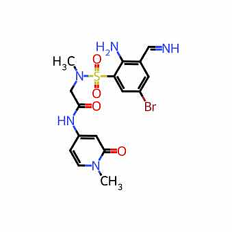 CN(CC(=O)Nc1ccn(C)c(=O)c1)S(=O)(=O)c1cc(Br)cc(C=N)c1N